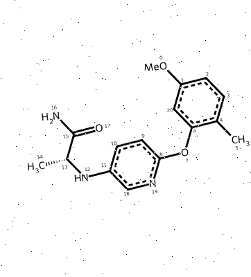 COc1ccc(C)c(Oc2ccc(N[C@H](C)C(N)=O)cn2)c1